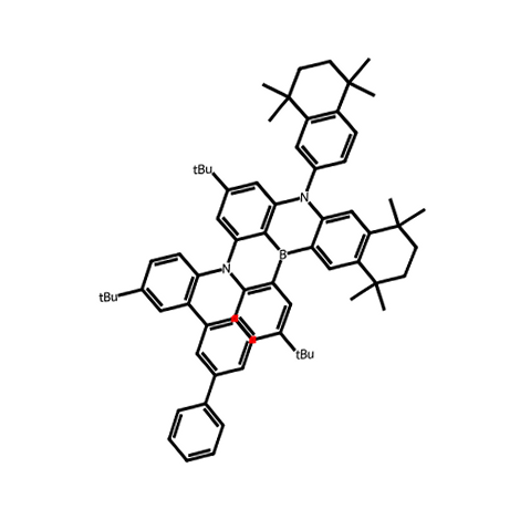 CC(C)(C)c1ccc2c(c1)B1c3cc4c(cc3N(c3ccc5c(c3)C(C)(C)CCC5(C)C)c3cc(C(C)(C)C)cc(c31)N2c1ccc(C(C)(C)C)cc1-c1cccc(-c2ccccc2)c1)C(C)(C)CCC4(C)C